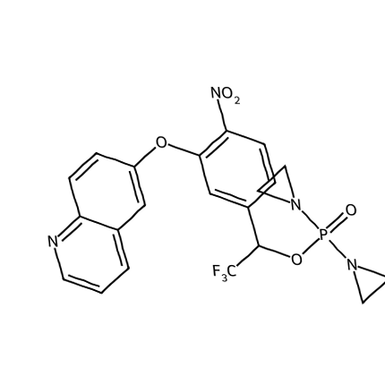 O=[N+]([O-])c1ccc(C(OP(=O)(N2CC2)N2CC2)C(F)(F)F)cc1Oc1ccc2ncccc2c1